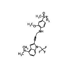 COc1cc([SH](C)(C)=O)ccc1NCC#Cc1cc2c(N(C)C)cccc2n1CC(F)(F)F